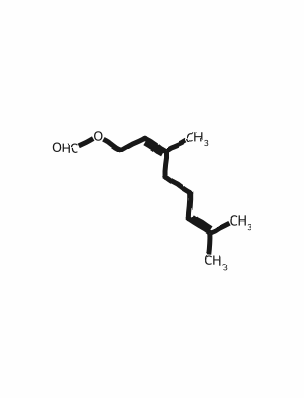 CC(C)=CCCC(C)=CCOC=O